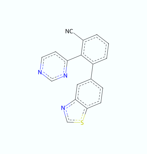 N#Cc1cccc(-c2ccc3scnc3c2)c1-c1ccncn1